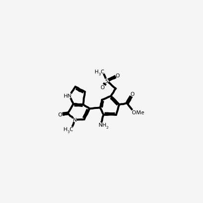 COC(=O)c1cc(N)c(-c2cn(C)c(=O)c3[nH]ccc23)cc1CS(C)(=O)=O